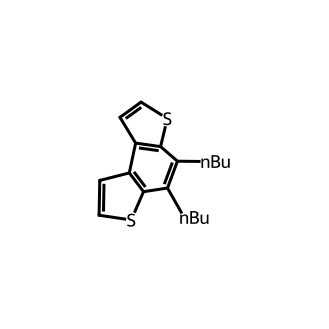 CCCCc1c(CCCC)c2sccc2c2ccsc12